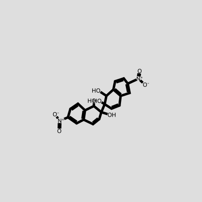 O=[N+]([O-])c1ccc2c(c1)C=CC(O)(C1(O)C=Cc3cc([N+](=O)[O-])ccc3C1O)C2O